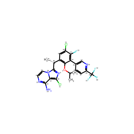 CC(C)Oc1c([C@@H](C)c2nc(Cl)c3c(N)nccn23)cc(Cl)c(F)c1-c1ccc(C(F)(F)F)nc1